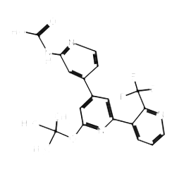 CC(C)(C)Oc1cc(-c2ccnc(NC(=O)O)c2)cc(-c2cccnc2C(F)(F)F)n1